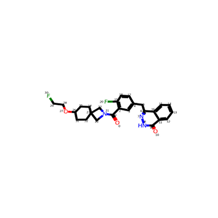 O=C(c1cc(Cc2n[nH]c(=O)c3ccccc23)ccc1F)N1CC2(CCC(OCCF)CC2)C1